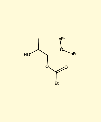 CCC(=O)OCC(C)O.CCCOCCC